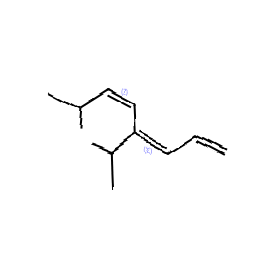 C=C/C=C(\C=C/C(C)C)C(C)C